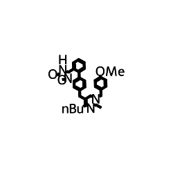 CCCCC1=C(Cc2ccc(-c3ccccc3-c3noc(=O)[nH]3)cc2)CN(Cc2ccc(OC)cc2)C(C)=N1